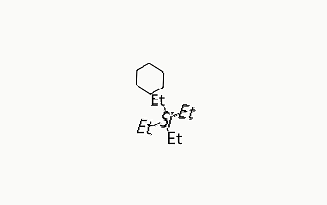 C1CCCCC1.CC[Si](CC)(CC)CC